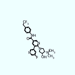 CN(C)[C@H]1CN(c2ncc(C(=O)Nc3ccc(CC(F)(F)F)cc3)cc2-c2cncc(F)c2)C[C@@H]1O